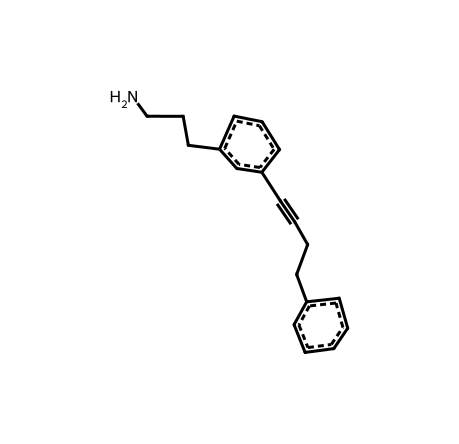 NCCCc1cccc(C#CCCc2ccccc2)c1